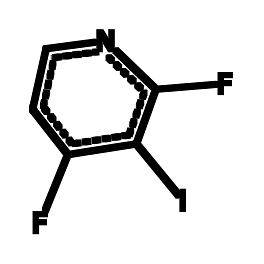 Fc1ccnc(F)c1I